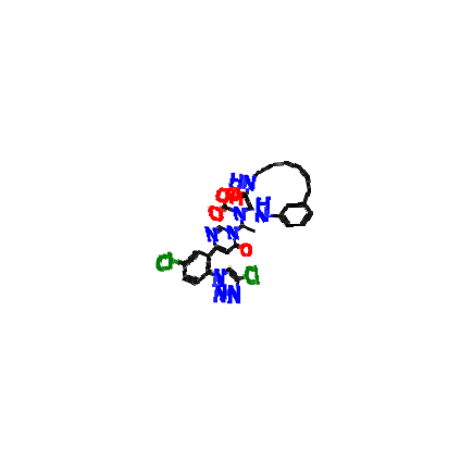 CC(N(C(=O)O)C1Nc2cccc(c2)CCCCCCNC1=O)n1cnc(-c2cc(Cl)ccc2-n2cc(Cl)nn2)cc1=O